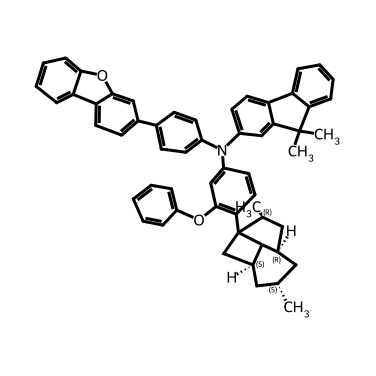 C[C@H]1C[C@@H]2C[C@@H](C)C3(c4ccc(N(c5ccc(-c6ccc7c(c6)oc6ccccc67)cc5)c5ccc6c(c5)C(C)(C)c5ccccc5-6)cc4Oc4ccccc4)C[C@H](C1)C23